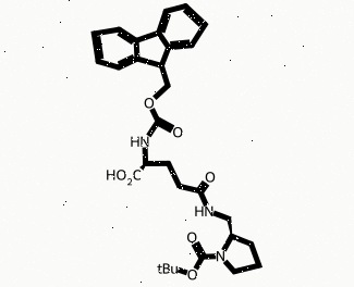 CC(C)(C)OC(=O)N1CCC[C@@H]1CNC(=O)CC[C@H](NC(=O)OCC1c2ccccc2-c2ccccc21)C(=O)O